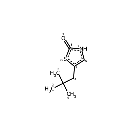 CC(C)(C)Cc1c[nH]c(=O)s1